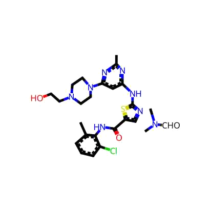 CN(C)C=O.Cc1nc(Nc2ncc(C(=O)Nc3c(C)cccc3Cl)s2)cc(N2CCN(CCO)CC2)n1